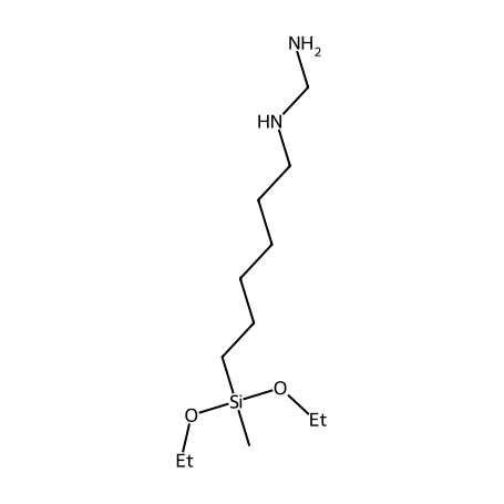 CCO[Si](C)(CCCCCCNCN)OCC